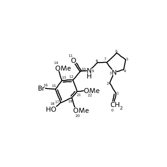 C=CCN1CCCC1CNC(=O)c1c(OC)c(Br)c(O)c(OC)c1OC